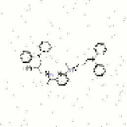 CCCC(C/N=C(\C)c1cccc(/C(C)=N/CCCP(c2ccccc2)c2ccccc2)n1)CP(c1ccccc1)c1ccccc1